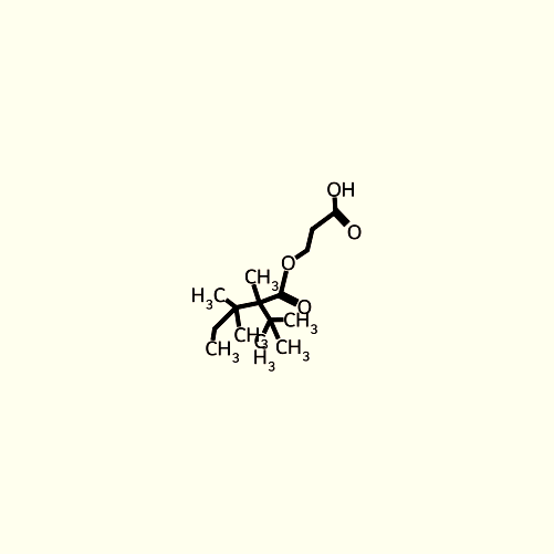 CCC(C)(C)C(C)(C(=O)OCCC(=O)O)C(C)(C)C